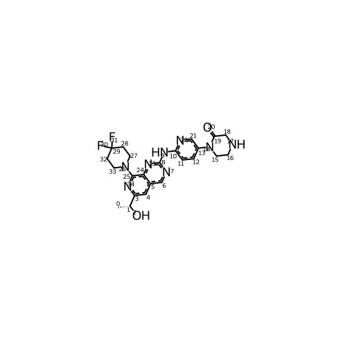 C[C@@H](O)c1cc2cnc(Nc3ccc(N4CCNCC4=O)cn3)nc2c(N2CCC(F)(F)CC2)n1